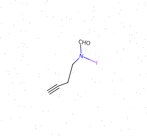 C#CCCN(I)C=O